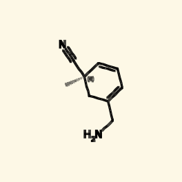 C[C@]1(C#N)C=CC=C(CN)C1